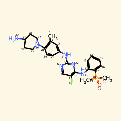 Cc1cc(Nc2ncc(F)c(Nc3ccccc3P(C)(C)=O)n2)ccc1N1CCC(N)CC1